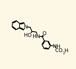 O=C(O)Nc1cccc(C(=O)NCC(O)Cn2cc3ccccc3c2)c1